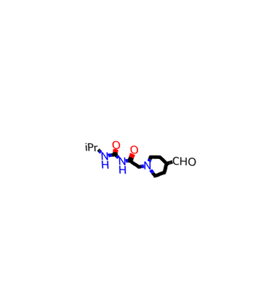 CC(C)NC(=O)NC(=O)CN1CCC(C=O)CC1